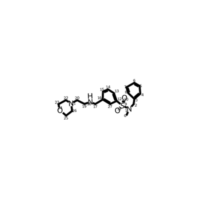 CN(Cc1ccccc1)S(=O)(=O)c1cccc(CNCCN2CCOCC2)c1